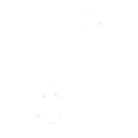 CC(C)COC/C=C/CCCCCOc1ncc(C(C)(C)C)cn1